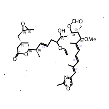 C=COC(C/C=C/[C@@H](C)[C@H]1C[C@@H](C[C@H]2O[C@H]2C)CC(=O)O1)[C@@H](O)C[C@H](OC=O)[C@H](C)[C@@H](OC)/C(C)=C/C=C/C(C)=C/c1coc(C)n1